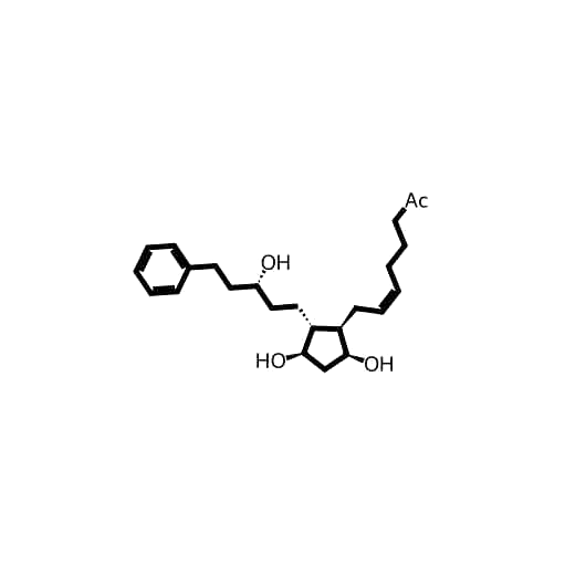 CC(=O)CCC/C=C\C[C@@H]1[C@@H](CC[C@@H](O)CCc2ccccc2)[C@H](O)C[C@@H]1O